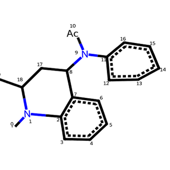 [CH2]N1c2ccccc2C(N(C(C)=O)c2ccccc2)CC1C